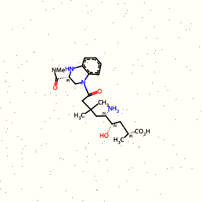 CNC(=O)[C@H]1CN(C(=O)CC(C)(C)C[C@H](N)[C@@H](O)C[C@@H](C)C(=O)O)c2ccccc2N1